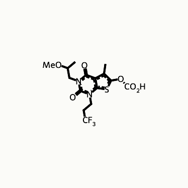 COC(C)Cn1c(=O)c2c(C)c(OC(=O)O)sc2n(CCC(F)(F)F)c1=O